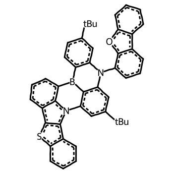 CC(C)(C)c1ccc2c(c1)N(c1cccc3c1oc1ccccc13)c1cc(C(C)(C)C)cc3c1B2c1cccc2c4sc5ccccc5c4n-3c12